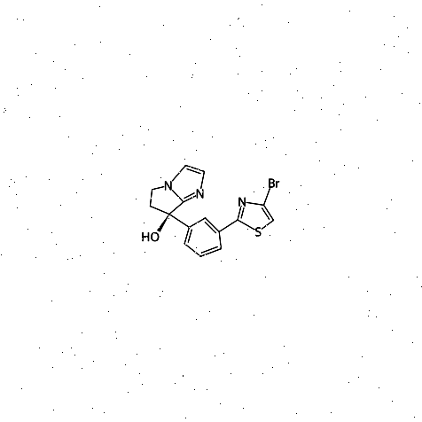 O[C@@]1(c2cccc(-c3nc(Br)cs3)c2)CCn2ccnc21